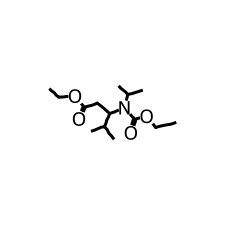 CCOC(=O)CC(C(C)C)N(C(=O)OCC)C(C)C